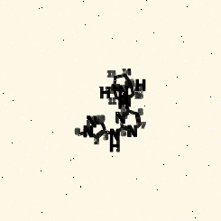 Cn1cc(Nc2nccc(N3C[C@H]4CC[C@@H](C3)N4)n2)cn1